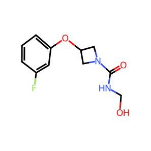 O=C(NCO)N1CC(Oc2cccc(F)c2)C1